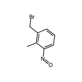 Cc1c(CBr)cccc1N=O